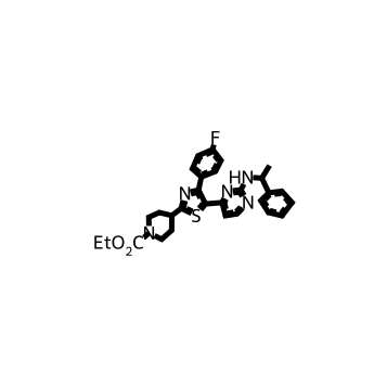 CCOC(=O)N1CCC(c2nc(-c3ccc(F)cc3)c(-c3ccnc(NC(C)c4ccccc4)n3)s2)CC1